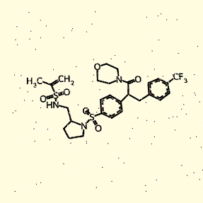 C=C(C)S(=O)(=O)NCC1CCCN1S(=O)(=O)c1ccc(C(Cc2ccc(C(F)(F)F)cc2)C(=O)N2CCOCC2)cc1